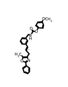 COc1ccc(OC(=O)BCc2cccc(/C=C/Cc3nc(-c4ccccc4)oc3C)c2)cc1